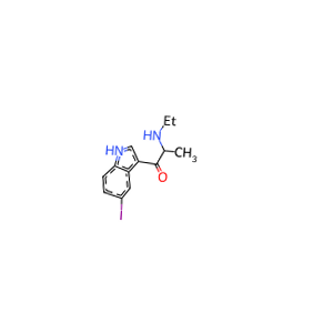 CCNC(C)C(=O)c1c[nH]c2ccc(I)cc12